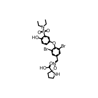 CCN(CC)S(=O)(=O)c1cc(Oc2c(Br)cc(C=NO[C@@]3(C(=O)O)CCCN3)cc2Br)ccc1O